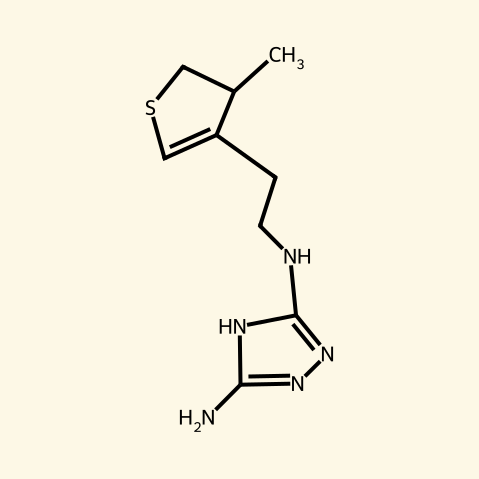 CC1CSC=C1CCNc1nnc(N)[nH]1